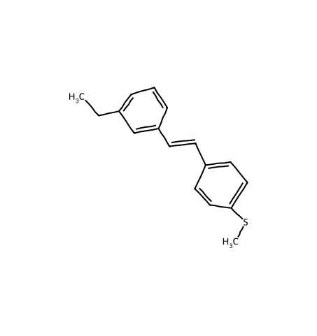 CCc1cccc(/C=C/c2ccc(SC)cc2)c1